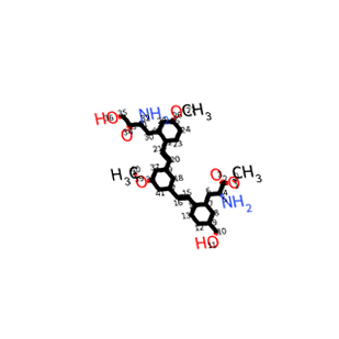 COC(=O)C(N)CC1CC(CO)CCC1/C=C/C1CC(/C=C/C2CCC(OC)CC2CC(N)C(=O)CO)CC(OC)C1